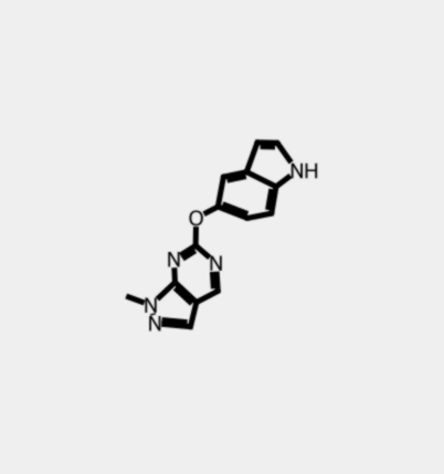 Cn1ncc2cnc(Oc3ccc4[nH]ccc4c3)nc21